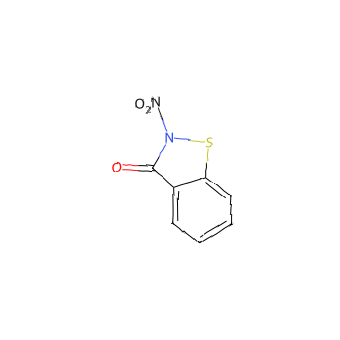 O=c1c2ccccc2sn1[N+](=O)[O-]